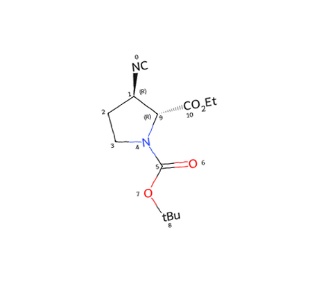 [C-]#[N+][C@@H]1CCN(C(=O)OC(C)(C)C)[C@H]1C(=O)OCC